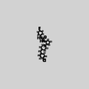 O=C(Nc1ccc(F)cc1)NC1CCCC1N1CCC(Cc2ccc(Cl)cc2)CC1